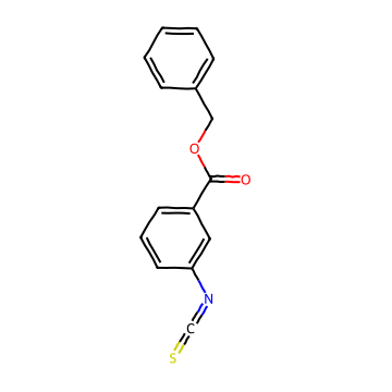 O=C(OCc1ccccc1)c1cccc(N=C=S)c1